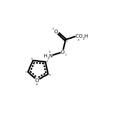 NOC(=O)C(=O)O.c1ccoc1